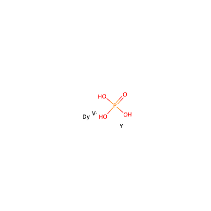 O=P(O)(O)O.[Dy].[V].[Y]